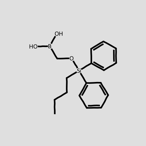 CCCC[Si](OCB(O)O)(c1ccccc1)c1ccccc1